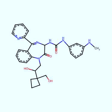 CNc1cccc(NC(=O)NC2N=C(c3ccccn3)c3ccccc3N(CC(O)C3(CO)CCC3)C2=O)c1